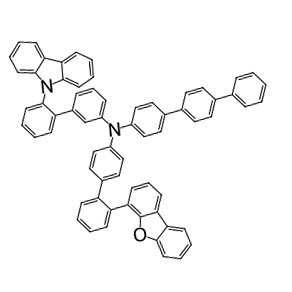 c1ccc(-c2ccc(-c3ccc(N(c4ccc(-c5ccccc5-c5cccc6c5oc5ccccc56)cc4)c4cccc(-c5ccccc5-n5c6ccccc6c6ccccc65)c4)cc3)cc2)cc1